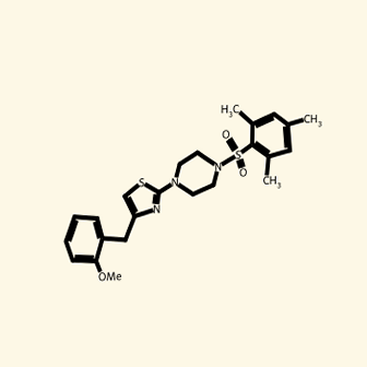 COc1ccccc1Cc1csc(N2CCN(S(=O)(=O)c3c(C)cc(C)cc3C)CC2)n1